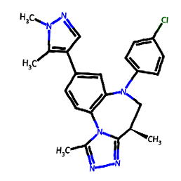 Cc1c(-c2ccc3c(c2)N(c2ccc(Cl)cc2)C[C@@H](C)c2nnc(C)n2-3)cnn1C